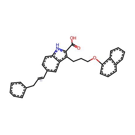 O=C(O)c1[nH]c2ccc(/C=C/Cc3ccccc3)cc2c1CCCOc1cccc2ccccc12